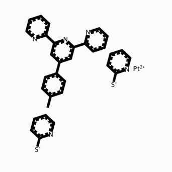 Cc1ccc(-c2cc(-c3ccccn3)nc(-c3ccccn3)c2)cc1.[Pt+2].[S-]c1ccccn1.[S-]c1ccccn1